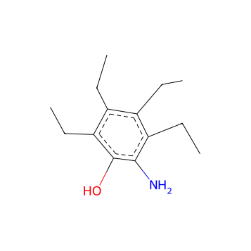 CCc1c(N)c(O)c(CC)c(CC)c1CC